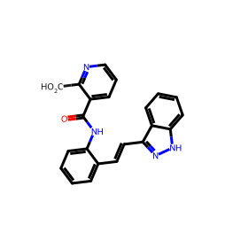 O=C(Nc1ccccc1C=Cc1n[nH]c2ccccc12)c1cccnc1C(=O)O